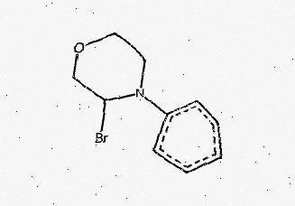 BrC1COCCN1c1ccccc1